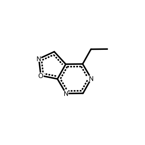 CCc1ncnc2oncc12